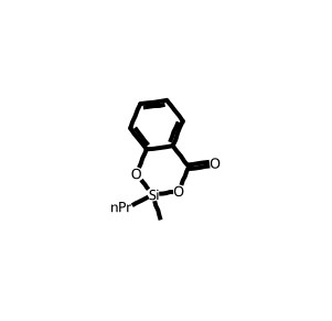 CCC[Si]1(C)OC(=O)c2ccccc2O1